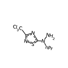 CCCN(N)c1nc(C(Cl)(Cl)Cl)ns1